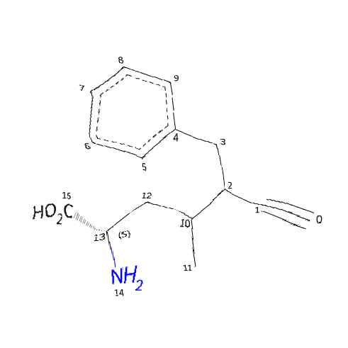 C#CC(Cc1ccccc1)C(C)C[C@H](N)C(=O)O